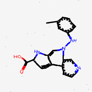 Cc1cccc(NN2C=C3NC(C(=O)O)C=C3c3ccncc32)c1